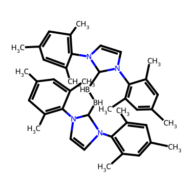 Cc1cc(C)c(N2C=CN(c3c(C)cc(C)cc3C)C2BBC2N(c3c(C)cc(C)cc3C)C=CN2c2c(C)cc(C)cc2C)c(C)c1